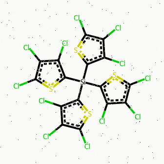 Clc1sc([Si](c2sc(Cl)c(Cl)c2Cl)(c2sc(Cl)c(Cl)c2Cl)c2sc(Cl)c(Cl)c2Cl)c(Cl)c1Cl